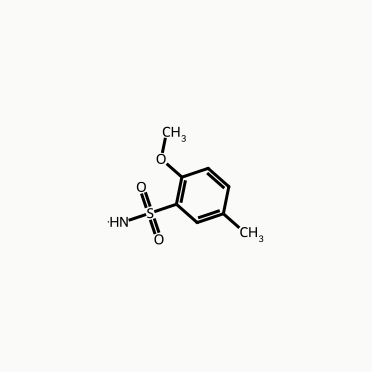 COc1ccc(C)cc1S([NH])(=O)=O